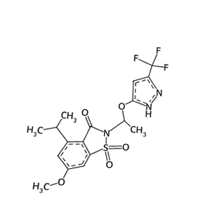 COc1cc(C(C)C)c2c(c1)S(=O)(=O)N(C(C)Oc1cc(C(F)(F)F)n[nH]1)C2=O